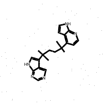 CC(C)(CCC(C)(C)c1c[nH]c2ncncc12)c1ccnc2[nH]ccc12